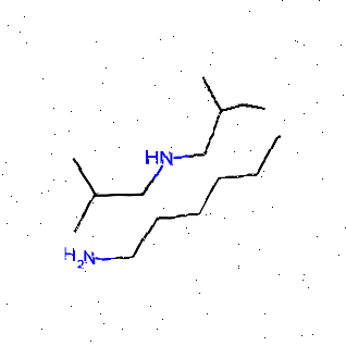 CC(C)CNCC(C)C.CCCCCCN